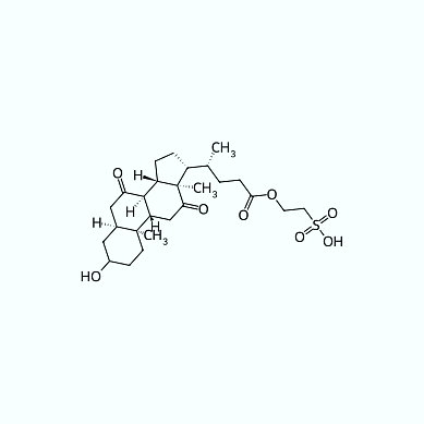 C[C@H](CCC(=O)OCCS(=O)(=O)O)[C@H]1CC[C@H]2[C@@H]3C(=O)C[C@@H]4CC(O)CC[C@]4(C)[C@H]3CC(=O)[C@]12C